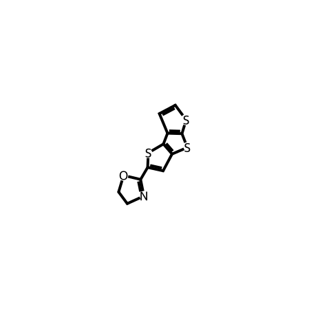 c1cc2c(s1)sc1cc(C3=NCCO3)sc12